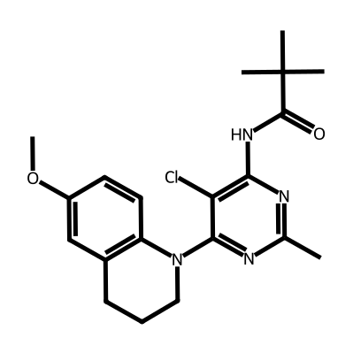 COc1ccc2c(c1)CCCN2c1nc(C)nc(NC(=O)C(C)(C)C)c1Cl